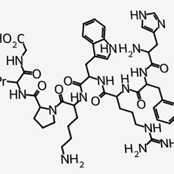 CC(C)C(NC(=O)C1CCCN1C(=O)C(CCCCN)NC(=O)C(Cc1c[nH]c2ccccc12)NC(=O)C(CCCNC(=N)N)NC(=O)C(Cc1ccccc1)NC(=O)C(N)Cc1c[nH]cn1)C(=O)NCC(=O)O